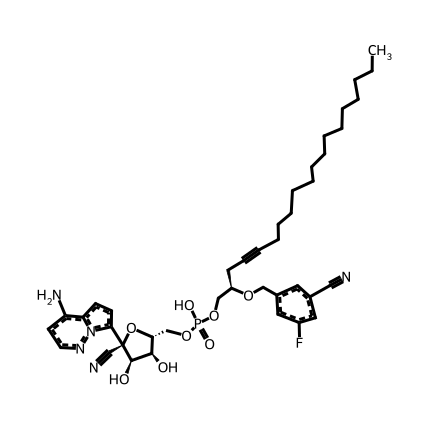 CCCCCCCCCCCCCCC#CC[C@H](COP(=O)(O)OC[C@H]1O[C@@](C#N)(c2ccc3c(N)ccnn23)[C@H](O)[C@@H]1O)OCc1cc(F)cc(C#N)c1